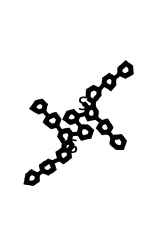 c1ccc(-c2ccc(-c3ccc4sc5c(-c6ccccc6-c6ccccc6-c6cc(-c7ccc(-c8ccccc8)cc7)cc7c6sc6ccc(-c8ccc(-c9ccccc9)cc8)cc67)cc(-c6ccc(-c7ccccc7)cc6)cc5c4c3)cc2)cc1